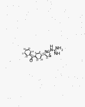 N=C(N)Nc1nc(-c2ccc(C(=O)c3ccccc3)cc2)cs1